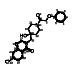 O=C(COc1ccccc1)N1CCC(O)(Cn2cnc3cc(Cl)ccc3c2=O)CC1